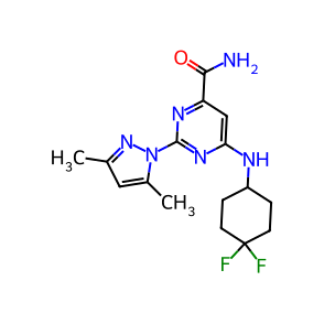 Cc1cc(C)n(-c2nc(NC3CCC(F)(F)CC3)cc(C(N)=O)n2)n1